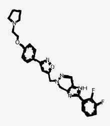 Fc1cccc(-c2nc3c([nH]2)C=NN(Cc2cc(-c4ccc(OCCN5CCCC5)cc4)no2)C3)c1F